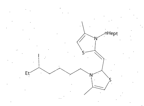 CCCCCCCN1C(C)=CSC1=CC1SC=C(C)N1CCCCC(I)CC